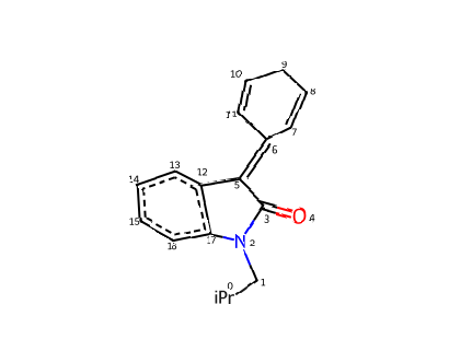 CC(C)CN1C(=O)C(=C2C=CCC=C2)c2ccccc21